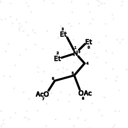 CC[N+](CC)(CC)CC(COC(C)=O)OC(C)=O